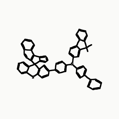 CC1(C)c2ccccc2-c2ccc(N(c3ccc(-c4ccccc4)cc3)c3ccc(-c4ccc5c(c4)C4(c6ccccc6S5)c5ccccc5-c5c4ccc4ccccc54)cc3)cc21